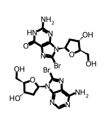 Nc1nc2c(nc(Br)n2[C@H]2C[C@H](O)[C@@H](CO)O2)c(=O)[nH]1.Nc1ncnc2c1nc(Br)n2[C@H]1C[C@H](O)[C@@H](CO)O1